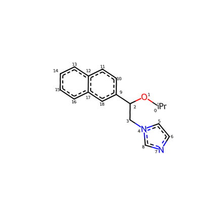 CC(C)OC(Cn1ccnc1)c1ccc2ccccc2c1